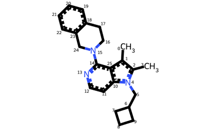 Cc1c(C)n(CC2CCC2)c2ccnc(N3CCc4ccccc4C3)c12